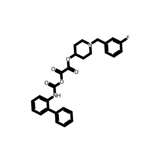 O=C(Nc1ccccc1-c1ccccc1)OC(=O)C(=O)OC1CCN(Cc2cccc(F)c2)CC1